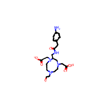 Nc1ccc(CC(=O)NCC2CN(CC(=O)O)CCN(CC=O)CCN2CC(=O)O)cc1